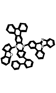 c1ccc(-c2ccccc2-c2ccc3c(c2)N(c2ccc4c(c2)c2ccccc2n2c5ccccc5nc42)c2cc4c5ccccc5c5ccccc5c4cc2N3c2cccc3c2oc2ccccc23)cc1